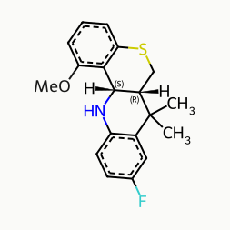 COc1cccc2c1[C@H]1Nc3ccc(F)cc3C(C)(C)[C@H]1CS2